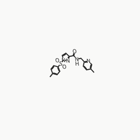 Cc1ccc(S(=O)(=O)n2ccc(C(=O)NCc3ccc(C)cn3)n2)cc1